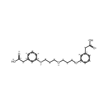 O=C(O)Cc1cccc(OCCCOCCCOc2cccc(CC(=O)O)c2)c1